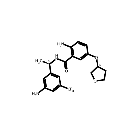 C[C@@H](NC(=O)c1cc(O[C@H]2CCOC2)ccc1N)c1cc(N)cc(C(F)(F)F)c1